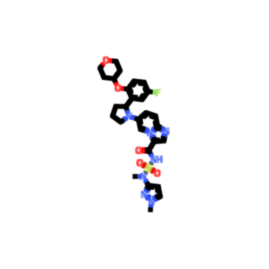 CN(c1ccn(C)n1)S(=O)(=O)NC(=O)c1cnc2ccc(N3CCCC3c3cc(F)ccc3OC3CCOCC3)cn12